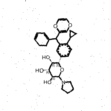 O[C@@H]1[C@@H](O)[C@H](c2ccc(C3CC3)c(C(C3=CC=CCC3)C3=COC=CO3)c2)OC(N2CCCC2)[C@H]1O